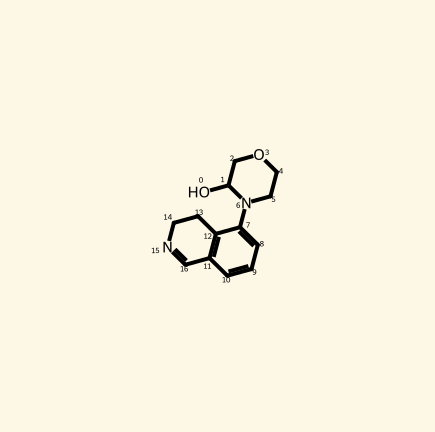 OC1COCCN1c1cccc2c1CCN=C2